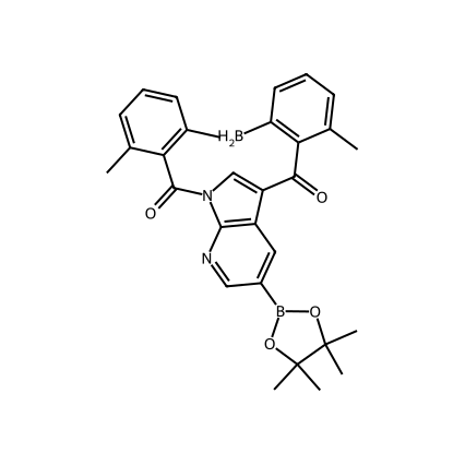 Bc1cccc(C)c1C(=O)c1cn(C(=O)c2c(C)cccc2C)c2ncc(B3OC(C)(C)C(C)(C)O3)cc12